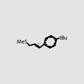 CSC/C=C/c1ccc(C(C)(C)C)cc1